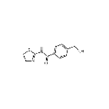 CCc1ccc(C(=O)NC2=NCCS2)cc1